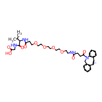 CC(C)C(NC(=O)CCOCCOCCOCCOCCNC(=O)CCC(=O)N1Cc2ccccc2/C=C\c2ccccc21)C(=O)NCC(=O)O